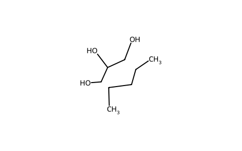 CCCCC.OCC(O)CO